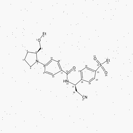 CCOC[C@@H]1CCCN1c1ccc(C(=O)N[C@H](CC#N)c2ccc(S(=O)(=O)CC)cc2)cc1